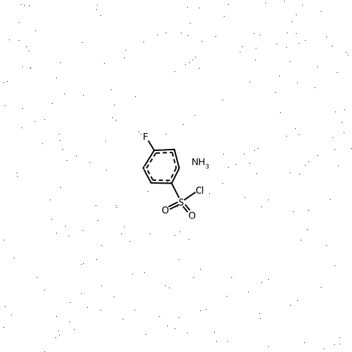 N.O=S(=O)(Cl)c1ccc(F)cc1